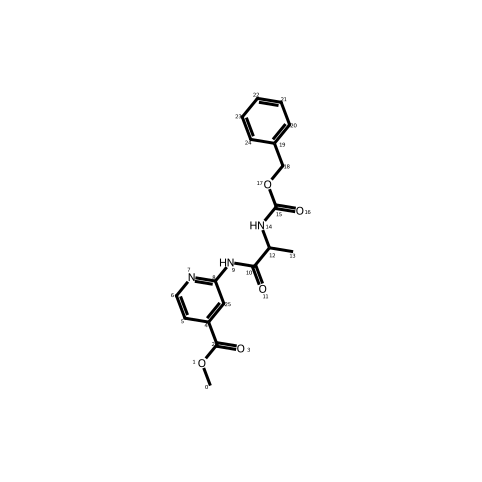 COC(=O)c1ccnc(NC(=O)C(C)NC(=O)OCc2ccccc2)c1